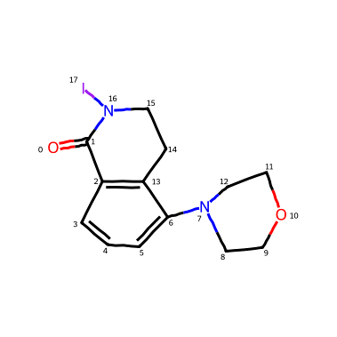 O=C1c2cccc(N3CCOCC3)c2CCN1I